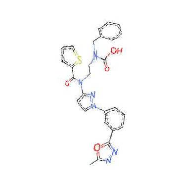 Cc1nnc(-c2cccc(-n3ccc(N(CCN(Cc4ccccc4)C(=O)O)C(=O)c4cccs4)n3)c2)o1